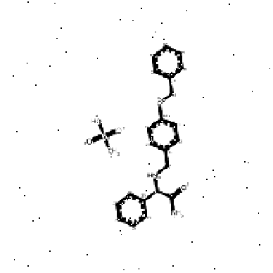 CS(=O)(=O)O.NC(=O)C(NCc1ccc(OCc2ccccc2)cc1)c1ccccc1